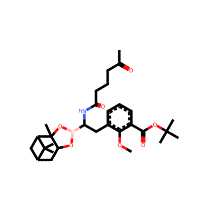 COc1c(CC(NC(=O)CCCC(C)=O)B2OC3CC4CC(C4(C)C)C3(C)O2)cccc1C(=O)OC(C)(C)C